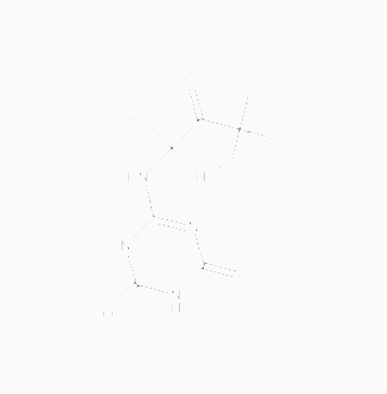 [2H]C([2H])([2H])C(=O)C([2H])([2H])Nc1nc(=O)[nH]c(=O)[nH]1